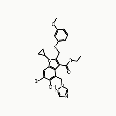 CCOC(=O)c1c(CSc2cccc(OC)c2)n(C2CC2)c2cc(Br)c(O)c(Cn3cncn3)c12